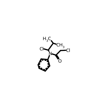 CC(C)C(Cl)N(C(=O)CCl)c1ccccc1